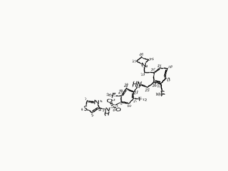 O=S(=O)(Nc1cscn1)c1cc(F)c(NCc2c(F)cccc2CN2CCC2)cc1F